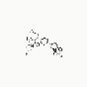 Cn1cc(-c2ccc(C(CC3CC3)C(N)C(=O)N3CCC(F)C3)cc2)ccc1=O